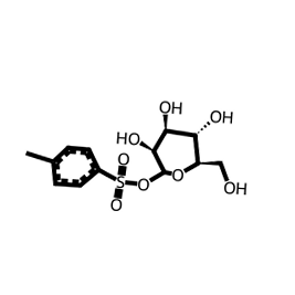 Cc1ccc(S(=O)(=O)OC2O[C@H](CO)[C@@H](O)[C@H](O)[C@@H]2O)cc1